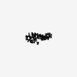 FC(F)(F)c1ccccc1-c1ccc(CN2CCNC(c3ccccc3)C2)cn1